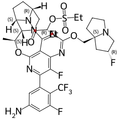 CC[C@@H](OS(=O)(=O)CC)C(=O)N1[C@@H]2CC[C@H]1[C@H]1[C@H](C)Oc3nc(-c4cc(N)cc(F)c4C(F)(F)F)c(F)c4nc(OC[C@@]56CCCN5C[C@H](F)C6)nc(c34)N1C2